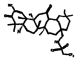 CC1(C)CC[C@]2(CNS(=O)(=O)CC(F)(F)F)CC[C@]3(C)C(C(=O)C[C@@H]4[C@@]5(C)C=C(C#N)C(=O)C(C)(C)[C@@H]5CC[C@]43C)C2C1